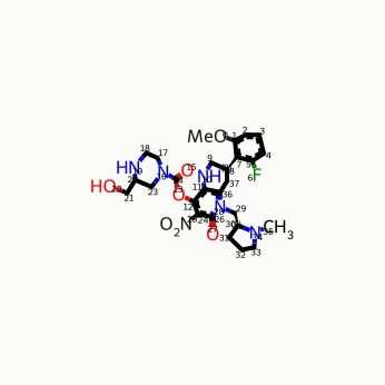 COc1cccc(F)c1[C@@H]1CNc2c(OC(=O)N3CCNC(CO)C3)c([N+](=O)[O-])c(=O)n(C[C@@H]3CCCN3C)c2C1